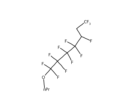 CCCOC(F)(F)C(F)(F)C(F)(F)C(F)(F)C(F)CC(F)(F)F